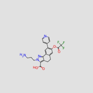 NCCCn1nc2c(c1C(=O)O)CCc1cc(OC(=O)C(F)(F)F)c(-c3ccncc3)cc1-2